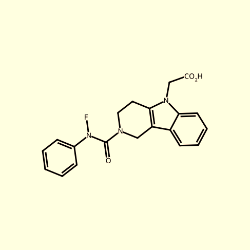 O=C(O)Cn1c2c(c3ccccc31)CN(C(=O)N(F)c1ccccc1)CC2